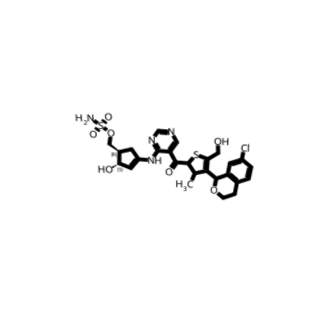 CC1C(C2OCCc3ccc(Cl)cc32)=C(CO)SC1C(=O)c1cncnc1NC1=C[C@H](O)[C@@H](COS(N)(=O)=O)C1